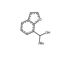 CCCCC(O)c1cccc2ccoc12